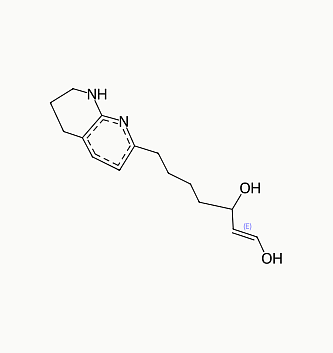 O/C=C/C(O)CCCCc1ccc2c(n1)NCCC2